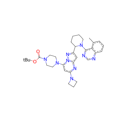 Cc1cccc2ncnc(N3CCCCC3c3cc4nc(N5CCC5)cc(N5CCN(C(=O)OC(C)(C)C)CC5)n4n3)c12